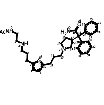 CC(=O)NCCNCCCc1ccc(CCCN2CC[C@@H](C(C(N)=O)(c3ccccc3)c3ccccc3)C2)s1